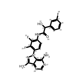 Cc1nn(-c2ccc(NC(=O)C(O)c3cccc(F)c3)c(F)c2F)c2c(N)ncnc12